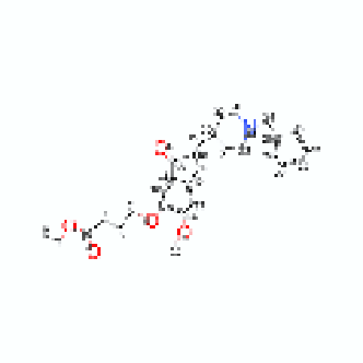 CCOC(=O)CCCOc1cc2c(cc1OC)CC(CC1CCN(Cc3ccccc3)CC1)C2=O